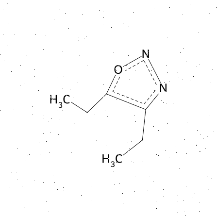 CCc1nnoc1CC